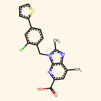 Cc1cc(C(=O)O)nc2c1nc(C)n2Cc1ccc(-c2cccs2)cc1Cl